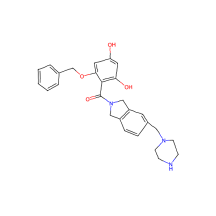 O=C(c1c(O)cc(O)cc1OCc1ccccc1)N1Cc2ccc(CN3CCNCC3)cc2C1